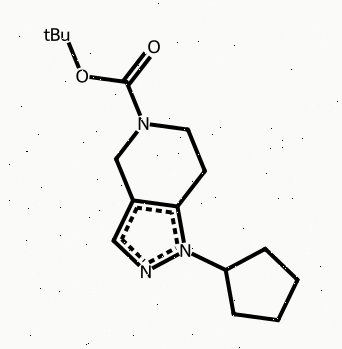 CC(C)(C)OC(=O)N1CCc2c(cnn2C2CCCC2)C1